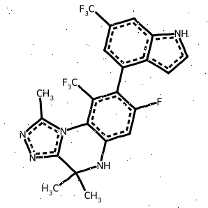 Cc1nnc2n1-c1c(cc(F)c(-c3cc(C(F)(F)F)cc4[nH]ccc34)c1C(F)(F)F)NC2(C)C